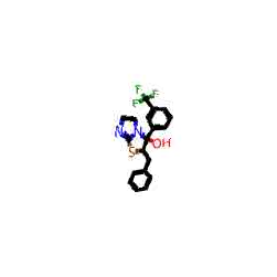 OC1(c2cccc(C(F)(F)F)c2)C(Cc2ccccc2)SC2=NCCN21